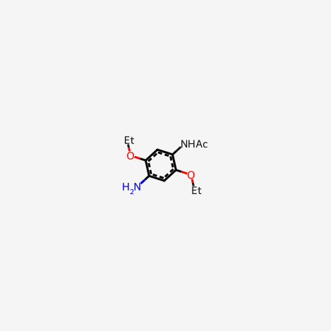 CCOc1cc(NC(C)=O)c(OCC)cc1N